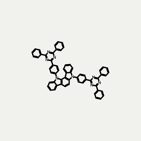 c1ccc(-c2nc(-c3ccccc3)nc(-c3ccc(-n4c5ccccc5c5c4ccc4c6ccccc6n(-c6ccc(-c7nc(-c8ccccc8)nc(-c8ccccc8)n7)cc6)c45)cc3)n2)cc1